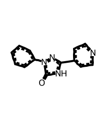 O=c1[nH]c(-c2ccncc2)nn1-c1ccccc1